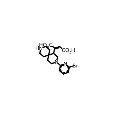 O=C(O)/C=C(/C(=O)O)C1CN(c2cccc(Br)n2)CCC12CCNCC2